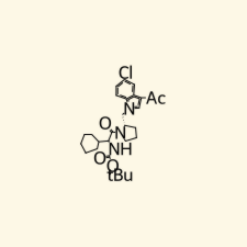 CC(=O)c1cn(C[C@@H]2CCCN2C(=O)[C@@H](NC(=O)OC(C)(C)C)C2CCCCC2)c2ccc(Cl)cc12